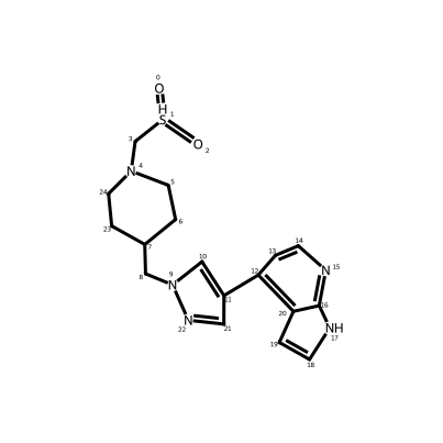 O=[SH](=O)CN1CCC(Cn2cc(-c3ccnc4[nH]ccc34)cn2)CC1